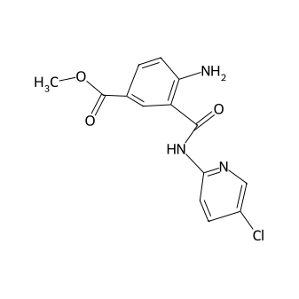 COC(=O)c1ccc(N)c(C(=O)Nc2ccc(Cl)cn2)c1